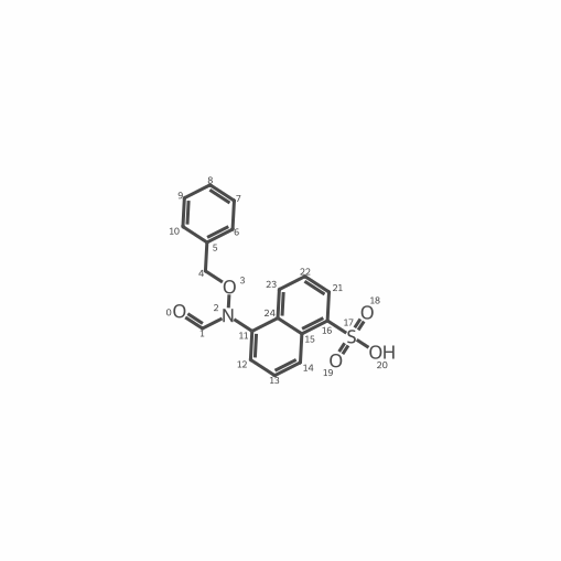 O=CN(OCc1ccccc1)c1cccc2c(S(=O)(=O)O)cccc12